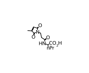 CCCC(NC(=O)CCN1C(=O)C=C(C)C1=O)C(=O)O